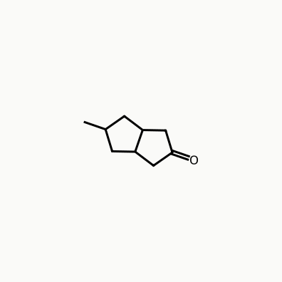 CC1CC2CC(=O)CC2C1